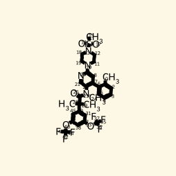 Cc1ccccc1-c1cc(N2CCN(S(C)(=O)=O)CC2)ncc1N(C)C(=O)C(C)(C)c1cc(OC(F)(F)F)cc(OC(F)(F)F)c1